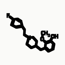 COc1c(O)cccc1CC1CCN(CCc2ccc(F)cc2)CC1